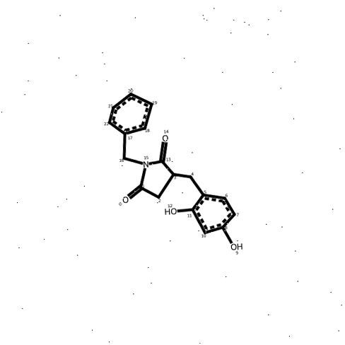 O=C1CC(Cc2ccc(O)cc2O)C(=O)N1Cc1ccccc1